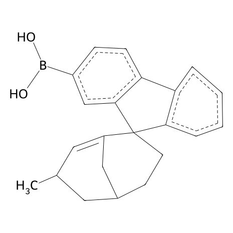 CC1C=C2CC(CCC23c2ccccc2-c2ccc(B(O)O)cc23)C1